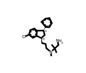 CN(CCC[C@@H]1C[C@@H](c2ccccc2)c2ccc(Cl)cc21)C(C)(C)CN